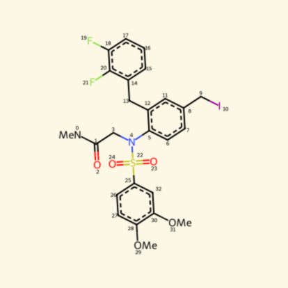 CNC(=O)CN(c1ccc(CI)cc1Cc1cccc(F)c1F)S(=O)(=O)c1ccc(OC)c(OC)c1